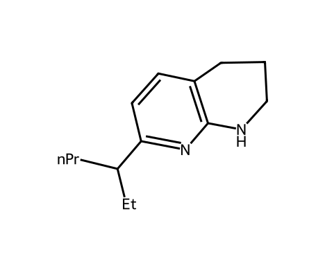 CCCC(CC)c1ccc2c(n1)NCCC2